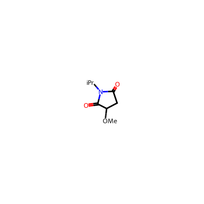 COC1CC(=O)N(C(C)C)C1=O